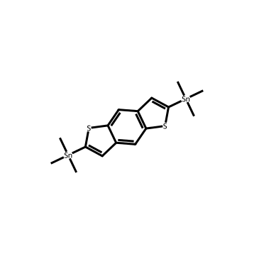 [CH3][Sn]([CH3])([CH3])[c]1cc2cc3s[c]([Sn]([CH3])([CH3])[CH3])cc3cc2s1